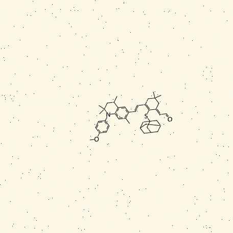 COc1ccc(N2c3cc(C)c(C=CC4=C(SC56CC7CC(CC(C7)C5)C6)C(=CC=O)CC(C)(C)C4)cc3C(C)CC2(C)C)cc1